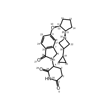 O=C1CCC(N2Cc3cc(O[C@H]4CCC[C@H]4N4CC(C5CC5)C4)ccc3C2=O)C(=O)N1